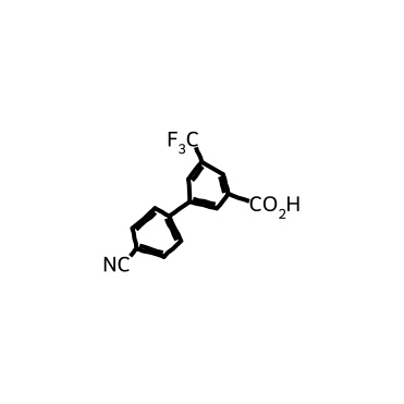 N#Cc1ccc(-c2cc(C(=O)O)cc(C(F)(F)F)c2)cc1